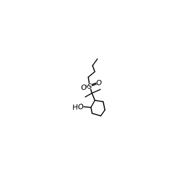 CCCCS(=O)(=O)C(C)(C)C1CCCCC1O